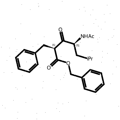 CC(=O)N[C@@H](CC(C)C)C(=O)[C@H](Cc1ccccc1)C(=O)OCc1ccccc1